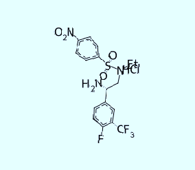 CCN(C[C@@H](N)c1ccc(F)c(C(F)(F)F)c1)S(=O)(=O)c1ccc([N+](=O)[O-])cc1.Cl